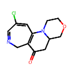 O=C1CC2COCCN2C2=C1CN=CC(Cl)=C2